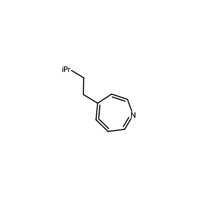 CC(C)CCC1=C=CC=NC=C1